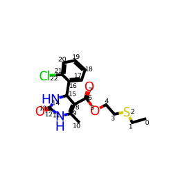 CCSCCOC(=O)C1=C(C)NC(=O)NC1c1ccccc1Cl